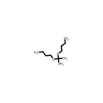 CCCCOC(C)([SiH3])OCCCC